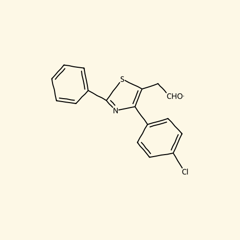 O=[C]Cc1sc(-c2ccccc2)nc1-c1ccc(Cl)cc1